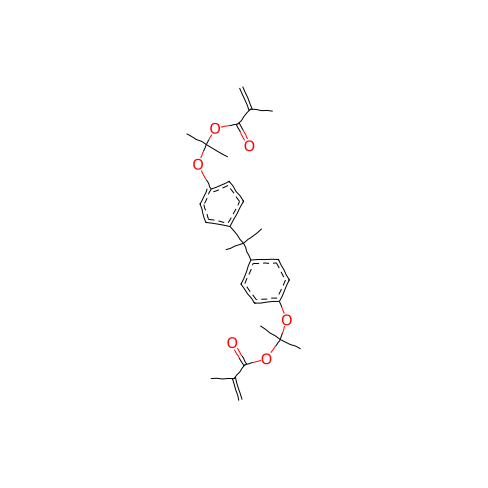 C=C(C)C(=O)OC(C)(C)Oc1ccc(C(C)(C)c2ccc(OC(C)(C)OC(=O)C(=C)C)cc2)cc1